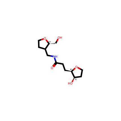 O=C(CC[C@H]1OCC[C@H]1O)NCC1CCO[C@@H]1CO